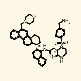 NCc1ccc(S(=O)(=O)N2CCNC(=O)[C@H]2CC(=O)Nc2c([C@@H]3CCCc4c3ccc3c4cc(CN4CCOCC4)c4ccccc43)ccc3ccccc23)cc1